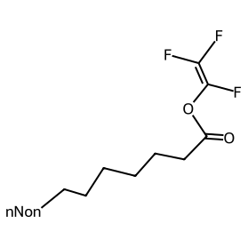 CCCCCCCCCCCCCCCC(=O)OC(F)=C(F)F